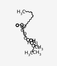 CCCCC/C=C\C/C=C\CCCCCCCCOCC(CN1CCCC1c1ccccc1)OCCOCCO[C@H]1CC[C@@]2(C)C(=CCC3[C@@H]4CC[C@H]([C@H](C)CCCC(C)C)[C@@]4(C)CC[C@@H]32)C1